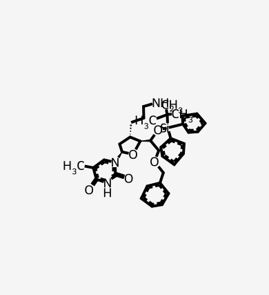 Cc1cn([C@H]2C[C@H](CCCN)[C@@H](C(COCc3ccccc3)O[Si](c3ccccc3)(c3ccccc3)C(C)(C)C)O2)c(=O)[nH]c1=O